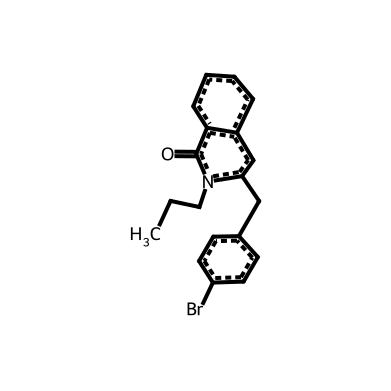 CCCn1c(Cc2ccc(Br)cc2)cc2ccccc2c1=O